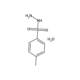 Cc1ccc(S(=O)(=O)NN)cc1.O